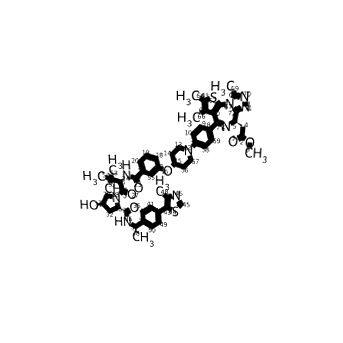 COC(=O)C[C@@H]1N=C(c2ccc(N3CCC(Oc4cccc(C(=O)N[C@H](C(=O)N5C[C@H](O)C[C@H]5C(=O)N[C@@H](C)c5ccc(-c6scnc6C)cc5)C(C)(C)C)c4)CC3)cc2)c2c(sc(C)c2C)-n2c(C)nnc21